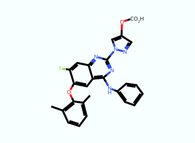 Cc1cccc(C)c1Oc1cc2c(Nc3ccccc3)nc(-n3cc(OC(=O)O)cn3)nc2cc1F